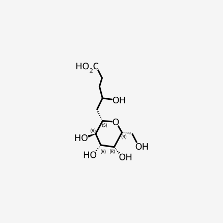 O=C(O)CCC(O)C[C@@H]1O[C@H](CO)[C@H](O)[C@H](O)[C@H]1O